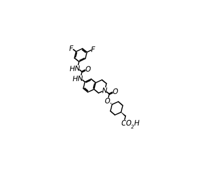 O=C(O)C[C@H]1CC[C@H](OC(=O)N2CCc3cc(NC(=O)Nc4cc(F)cc(F)c4)ccc3C2)CC1